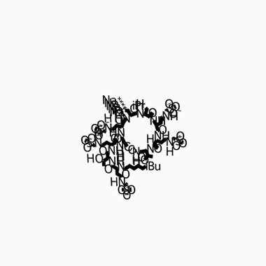 CCC(C)CCCCC(=O)NC(CCNCS(=O)(=O)[O-])C(=O)NC(C(=O)NC(CCNCS(=O)(=O)[O-])C(=O)NC1CCNC(=O)C(C(C)O)NC(=O)C(CCNCS(=O)(=O)[O-])NC(=O)C(CCNCS(=O)(=O)[O-])NC(=O)C(CC(C)C)NC(=O)C(CC(C)C)NC(=O)C(CCNCS(=O)(=O)[O-])NC1=O)C(C)O.[Na+].[Na+].[Na+].[Na+].[Na+]